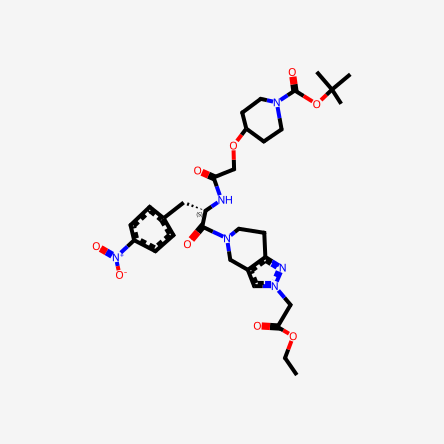 CCOC(=O)Cn1cc2c(n1)CCN(C(=O)[C@H](Cc1ccc([N+](=O)[O-])cc1)NC(=O)COC1CCN(C(=O)OC(C)(C)C)CC1)C2